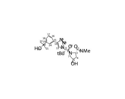 CNC(=O)[C@@H]1C[C@@H](O)CN1C(=O)[C@@H](n1cc(-c2cccc(C(C)(C)O)c2)nn1)C(C)(C)C